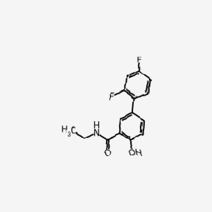 CCNC(=O)c1cc(-c2ccc(F)cc2F)ccc1O